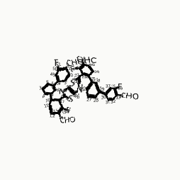 O=Cc1ccc(-c2cccc(-c3ccc(C=O)c(F)c3-c3nc4sc(-c5c(-c6cccc(-c7ccc(C=O)c(F)c7)c6)ccc(C=O)c5F)nc4s3)c2)cc1F